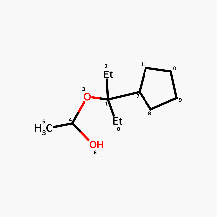 CCC(CC)(OC(C)O)C1CCCC1